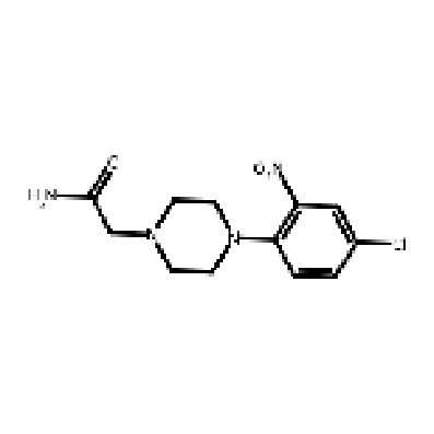 NC(=O)CN1CCN(c2ccc(Cl)cc2[N+](=O)[O-])CC1